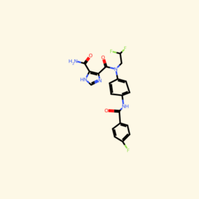 NC(=O)c1[nH]cnc1C(=O)N(CC(F)F)c1ccc(NC(=O)c2ccc(F)cc2)cc1